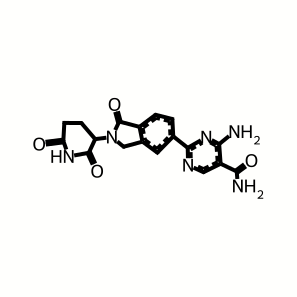 NC(=O)c1cnc(-c2ccc3c(c2)CN(C2CCC(=O)NC2=O)C3=O)nc1N